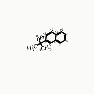 CCCC(C)(C)c1[c]c2ccccc2cc1